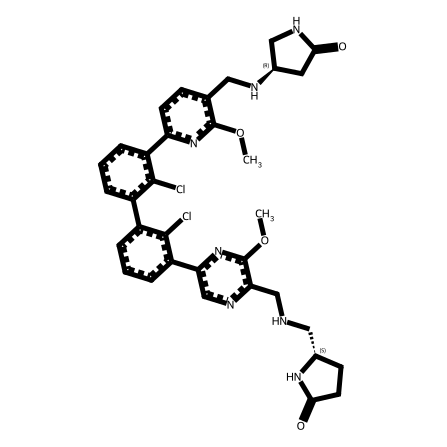 COc1nc(-c2cccc(-c3cccc(-c4cnc(CNC[C@@H]5CCC(=O)N5)c(OC)n4)c3Cl)c2Cl)ccc1CN[C@H]1CNC(=O)C1